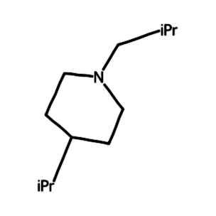 CC(C)CN1CCC(C(C)C)CC1